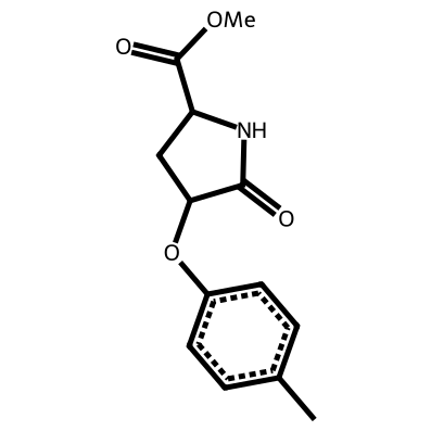 COC(=O)C1CC(Oc2ccc(C)cc2)C(=O)N1